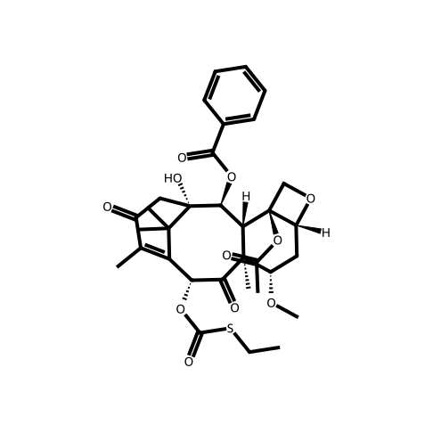 CCSC(=O)O[C@H]1C(=O)[C@]2(C)[C@@H](OC)C[C@H]3OC[C@@]3(OC(C)=O)[C@H]2[C@H](OC(=O)c2ccccc2)[C@]2(O)CC(=O)C(C)=C1C2(C)C